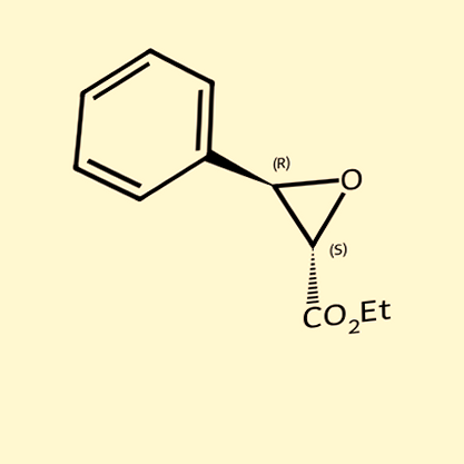 CCOC(=O)[C@H]1O[C@@H]1c1ccccc1